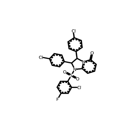 O=c1cccc2n1C(c1ccc(Cl)cc1)C(c1ccc(Cl)cc1)N2S(=O)(=O)c1ccc(F)cc1Cl